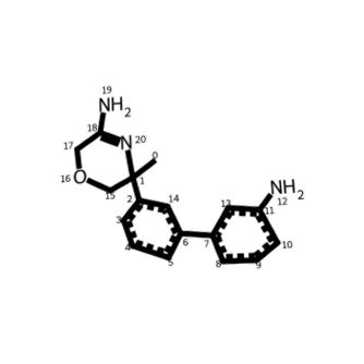 CC1(c2cccc(-c3cccc(N)c3)c2)COCC(N)=N1